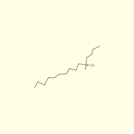 CCCCCCCCCC[Si](C)(Cl)CCCC